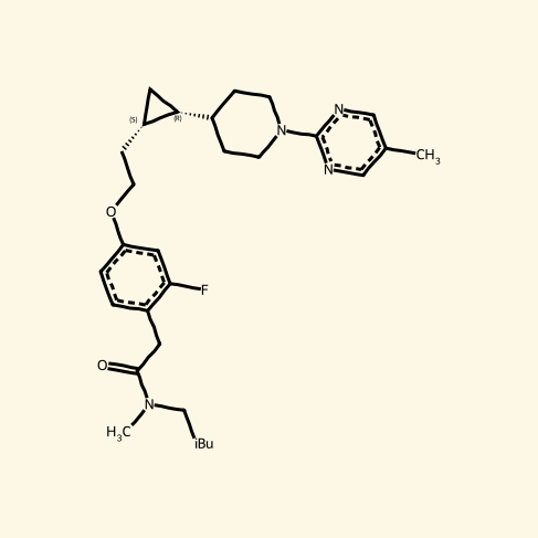 CCC(C)CN(C)C(=O)Cc1ccc(OCC[C@@H]2C[C@@H]2C2CCN(c3ncc(C)cn3)CC2)cc1F